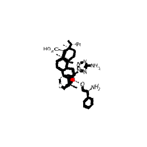 CC(C)[C@@H](C)[C@@]1(C)CC[C@]2(C)C3CC[C@@H]4[C@@]5(COC[C@@]4(C)[C@@H](OC[C@H](N)c4ccccc4)[C@H](n4nnc(N)n4)C5)C3=CC[C@@]2(C)[C@@H]1C(=O)O